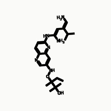 CCC(C)(OBc1cnc2ccc(N/C(N)=C/C(=C\N)C(C)C)nc2c1)C(C)(C)O